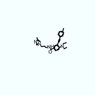 CCN(CC)c1ccc(C(=O)NCCCn2cnc(C)c2)cc1C#Cc1ccc(C)cc1